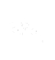 CC(C)(C)COc1ccc(-c2nc(O)nc(-c3cc(CO)ccc3Cl)n2)cc1